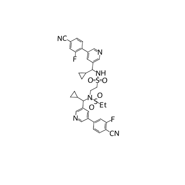 CCS(=O)(=O)N(CCS(=O)(=O)NC(c1cncc(-c2ccc(C#N)cc2F)c1)C1CC1)C(c1cncc(-c2ccc(C#N)c(F)c2)c1)C1CC1